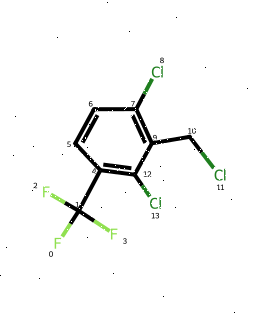 FC(F)(F)c1ccc(Cl)c(CCl)c1Cl